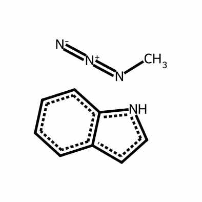 CN=[N+]=[N-].c1ccc2[nH]ccc2c1